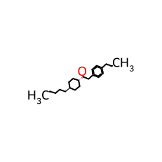 CCCCC[C@H]1CC[C@H](C(=O)Cc2ccc(CCC)cc2)CC1